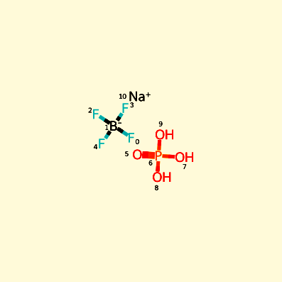 F[B-](F)(F)F.O=P(O)(O)O.[Na+]